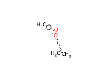 CC(C)=CCCCCCOCC(=O)c1ccc(C)cc1